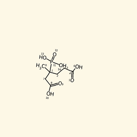 CC(CCC(=O)O)(CC(=O)O)P(=O)(O)O